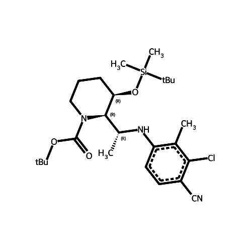 Cc1c(N[C@H](C)[C@@H]2[C@H](O[Si](C)(C)C(C)(C)C)CCCN2C(=O)OC(C)(C)C)ccc(C#N)c1Cl